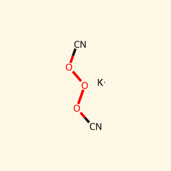 N#COOOC#N.[K]